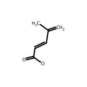 C=C(C)C=CC(=O)Cl